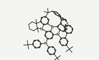 CC(C)(C)c1ccc(N(c2ccc(C(C)(C)C)cc2)c2cc3c4c(c2)N2c5c6cc(cc5C5(C)CCCCC25C)C(C)(C)c2ccc5c(c2)sc2ccc(c(c25)B64)N3c2ccc(C(C)(C)C)cc2-c2ccccc2)cc1